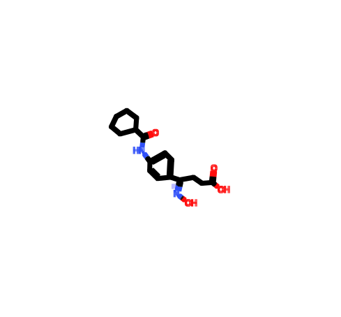 O=C(O)CC/C(=N\O)c1ccc(NC(=O)C2CCCCC2)cc1